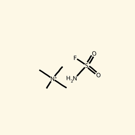 C[N+](C)(C)C.NS(=O)(=O)F